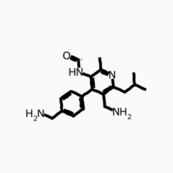 Cc1nc(CC(C)C)c(CN)c(-c2ccc(CN)cc2)c1N[C]=O